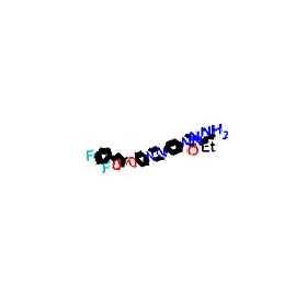 CCC(C(C)N)n1ncn(-c2ccc(N3CCN(c4ccc(OC[C@@H]5COC(c6ccc(F)cc6F)C5)cc4)CC3)cc2)c1=O